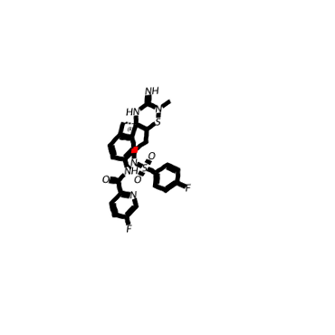 CN1SC(CCN(C)S(=O)(=O)c2ccc(F)cc2)[C@]2(Cc3ccc(NC(=O)c4ccc(F)cn4)cc32)NC1=N